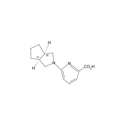 O=C(O)c1cccc(N2C[C@H]3CCC[C@H]3C2)n1